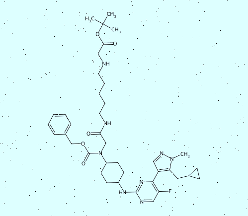 Cn1ncc(-c2nc(NC3CCC(N(CC(=O)NCCCCCNCC(=O)OC(C)(C)C)C(=O)OCc4ccccc4)CC3)ncc2F)c1CC1CC1